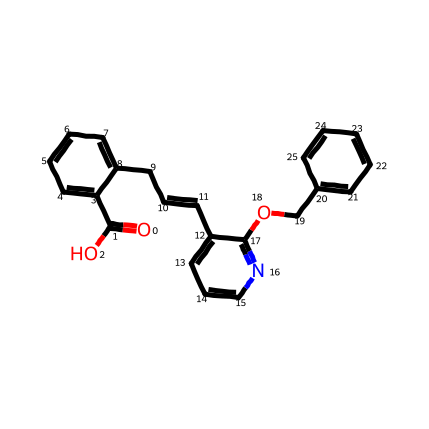 O=C(O)c1ccccc1CC=Cc1cccnc1OCc1ccccc1